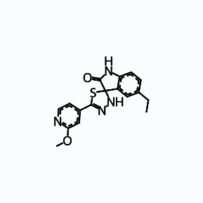 CCc1ccc2c(c1)C1(NN=C(c3ccnc(OC)c3)S1)C(=O)N2